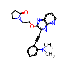 CN(C)c1ccccc1C#Cc1nc2ncccc2nc1OCCN1CCCC1=O